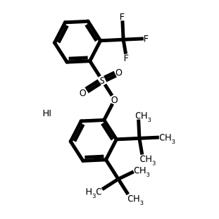 CC(C)(C)c1cccc(OS(=O)(=O)c2ccccc2C(F)(F)F)c1C(C)(C)C.I